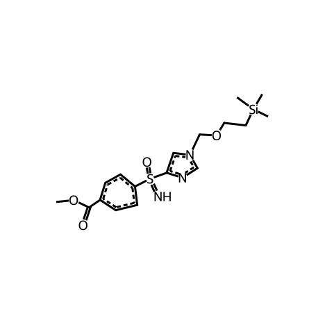 COC(=O)c1ccc(S(=N)(=O)c2cn(COCC[Si](C)(C)C)cn2)cc1